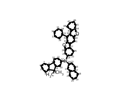 CC1(C)c2ccccc2-c2ccc(N(c3ccc4ccccc4c3)c3ccc4c(c3)oc3c(-c5ccccc5)c5c(cc34)oc3ccccc35)cc21